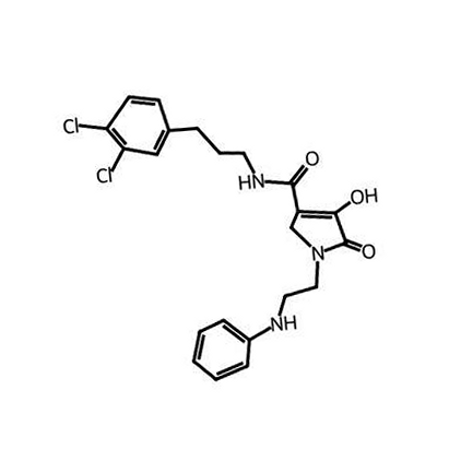 O=C(NCCCc1ccc(Cl)c(Cl)c1)C1=C(O)C(=O)N(CCNc2ccccc2)C1